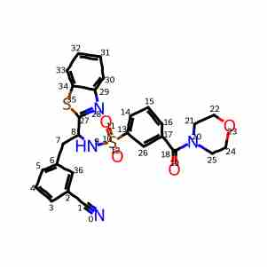 N#Cc1cccc(CC(NS(=O)(=O)c2cccc(C(=O)N3CCOCC3)c2)c2nc3ccccc3s2)c1